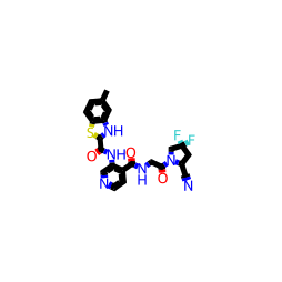 Cc1ccc2c(c1)NC(C(=O)Nc1cnccc1C(=O)NCC(=O)N1CC(F)(F)CC1C#N)S2